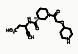 C#CC(CC(=O)O)NC(=O)[C@@H]1CCCN(C(=O)COC2CCNCC2)C1